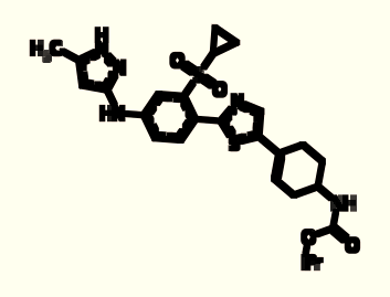 Cc1cc(Nc2ccc(-c3ncc(C4=CCC(NC(=O)OC(C)C)CC4)s3)c(S(=O)(=O)C3CC3)c2)n[nH]1